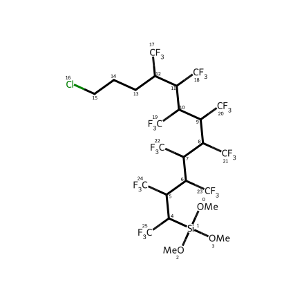 CO[Si](OC)(OC)C(C(C(C(C(C(C(C(C(CCCCl)C(F)(F)F)C(F)(F)F)C(F)(F)F)C(F)(F)F)C(F)(F)F)C(F)(F)F)C(F)(F)F)C(F)(F)F)C(F)(F)F